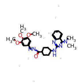 COc1cc(CNC(=O)C2CCC(Nc3nc(N(C)C)c4ccccc4n3)CC2)cc(OC)c1OC